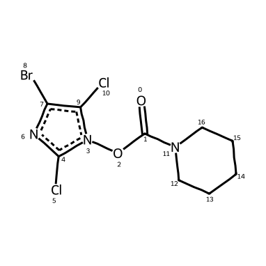 O=C(On1c(Cl)nc(Br)c1Cl)N1CCCCC1